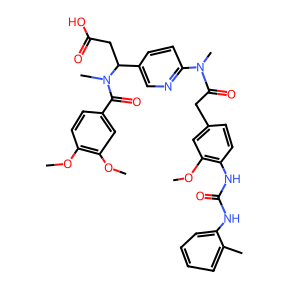 COc1cc(CC(=O)N(C)c2ccc(C(CC(=O)O)N(C)C(=O)c3ccc(OC)c(OC)c3)cn2)ccc1NC(=O)Nc1ccccc1C